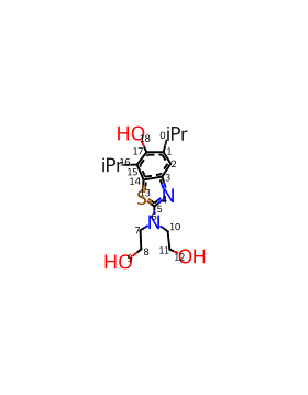 CC(C)c1cc2nc(N(CCO)CCO)sc2c(C(C)C)c1O